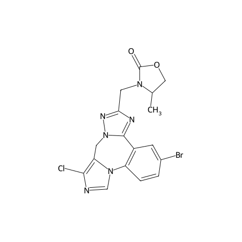 CC1COC(=O)N1Cc1nc2n(n1)Cc1c(Cl)ncn1-c1ccc(Br)cc1-2